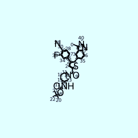 Cc1c2cc(-c3sc(C(=O)N4CCC[C@@H](NC(=O)OC(C)(C)C)C4)cc3-c3ccc(C#N)c(F)c3)ccc2nn1C